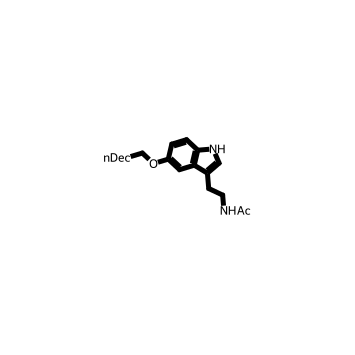 CCCCCCCCCCCOc1ccc2[nH]cc(CCNC(C)=O)c2c1